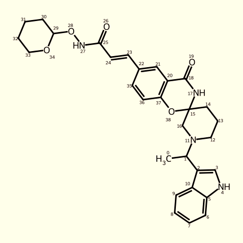 CC(c1c[nH]c2ccccc12)N1CCCC2(C1)NC(=O)c1cc(/C=C/C(=O)NOC3CCCCO3)ccc1O2